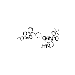 CCOC(=O)[C@@H](C)Oc1ccccc1C1CCC(OCC2NCCCC2NC(=O)OC(C)(C)C)CC1